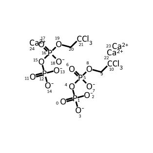 O=P([O-])([O-])OP(=O)([O-])OCC(Cl)(Cl)Cl.O=P([O-])([O-])OP(=O)([O-])OCC(Cl)(Cl)Cl.[Ca+2].[Ca+2].[Ca+2]